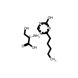 CCCCCc1ncnc(O)n1.N[C@@H](CO)C(=O)O